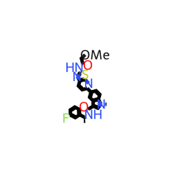 COCC(=O)Nc1nc2ccc(-c3ccc4c(c3)c(C(=O)N[C@@H](C)c3cccc(F)c3)cn4C)nc2s1